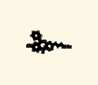 CC(=O)NCCCC(=O)OC1N=C(c2ccccc2)c2cc(Cl)ccc2NC1=O